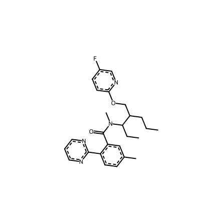 CCCC(COc1ccc(F)cn1)C(CC)N(C)C(=O)c1cc(C)ccc1-c1ncccn1